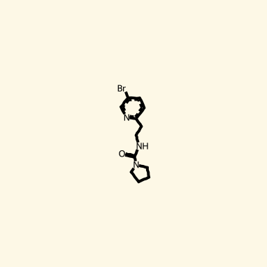 O=C(NCCc1ccc(Br)cn1)N1CCCC1